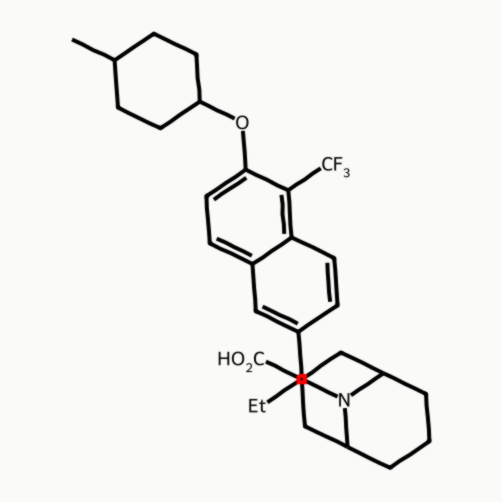 CCC(c1ccc2c(C(F)(F)F)c(OC3CCC(C)CC3)ccc2c1)N1C2CCCC1CC(C(=O)O)C2